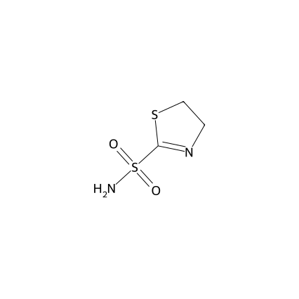 NS(=O)(=O)C1=NCCS1